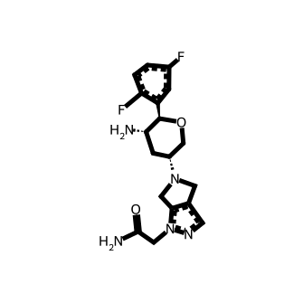 NC(=O)Cn1ncc2c1CN([C@H]1CO[C@H](c3cc(F)ccc3F)[C@@H](N)C1)C2